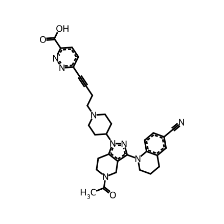 CC(=O)N1CCc2c(c(N3CCCc4cc(C#N)ccc43)nn2C2CCN(CCC#Cc3ccc(C(=O)O)nn3)CC2)C1